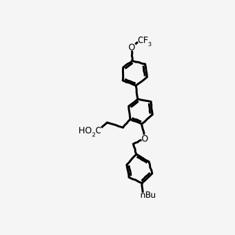 CCCCc1ccc(COc2ccc(-c3ccc(OC(F)(F)F)cc3)cc2CCC(=O)O)cc1